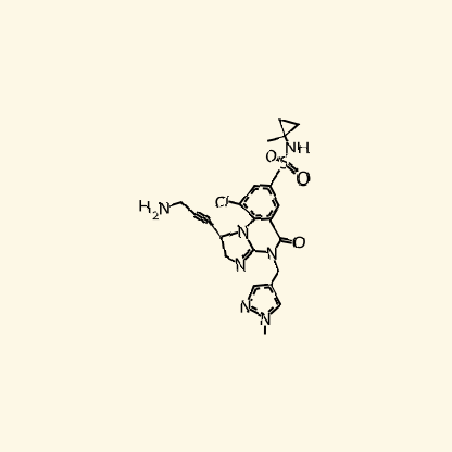 Cn1cc(CN2C(=O)c3cc(S(=O)(=O)NC4(C)CC4)cc(Cl)c3N3C2=NC[C@H]3C#CCN)cn1